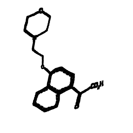 O=C(O)C(=O)c1ccc(OCCN2CCOCC2)c2ccccc12